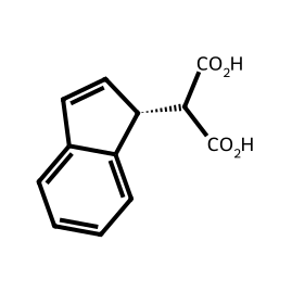 O=C(O)C(C(=O)O)[C@H]1C=Cc2ccccc21